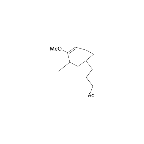 COC1=CC2CC2(CCCC(C)=O)CC1C